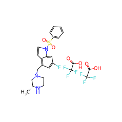 C[C@@H]1CN(Cc2cc(F)cc3c2ccn3S(=O)(=O)c2ccccc2)CCN1.O=C(O)C(F)(F)F.O=C(O)C(F)(F)F